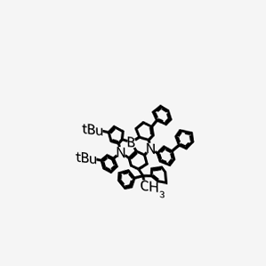 CC(C)(C)C1=CCC2B3C4=C(CC(C(C)(C5=CCCC=C5)c5ccccc5)CC4N(c4cccc(-c5ccccc5)c4)C4C=C(c5ccccc5)CCC34)N(c3cccc(C(C)(C)C)c3)C2=C1